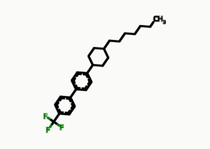 CCCCCCCC1CCC(c2ccc(-c3ccc(C(F)(F)F)cc3)cc2)CC1